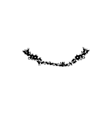 Cc1cn2cc(-c3cc4ccc(N5CCN(CCOCCn6cc(COCCOCCOCCOCCN7CCN(c8ccc9cc(-c%10cn%11cc(C)nc(C)c%11n%10)c(=O)oc9c8)CC7C)nn6)CC5)cc4oc3=O)nc2c(C)n1